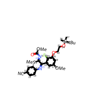 COC(=O)/N=C(SC)/C(=N\c1ccc(C#N)cc1)c1cc(OC)cc(OCCO[Si](C)(C)C(C)(C)C)c1F